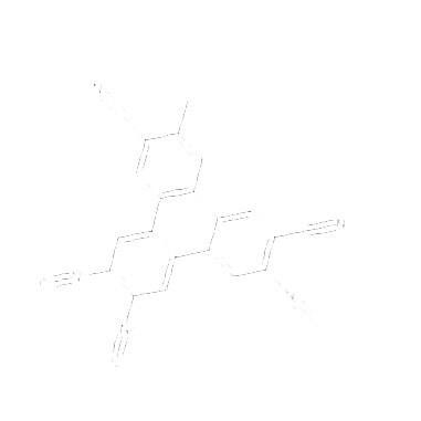 [C-]#[N+]c1cc2c(cc1C#N)c1cc(C)c(C#N)cc1c1cc([N+]#[C-])c([N+]#[C-])cc21